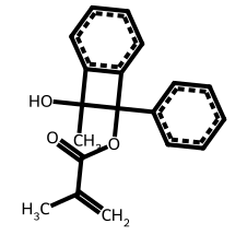 C=C(C)C(=O)OC1(c2ccccc2)c2ccccc2C1(C)O